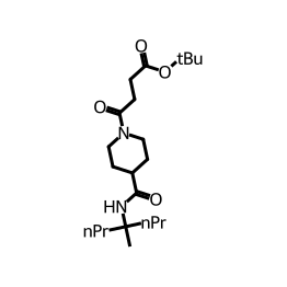 CCCC(C)(CCC)NC(=O)C1CCN(C(=O)CCC(=O)OC(C)(C)C)CC1